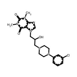 Cn1c(=O)c2c(ncn2CC(O)CN2CCN(c3cccc(Cl)c3)CC2)n(C)c1=O